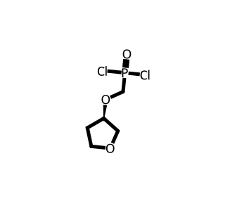 O=P(Cl)(Cl)CO[C@@H]1CCOC1